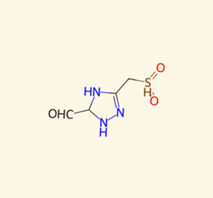 O=CC1NN=C(C[SH](=O)=O)N1